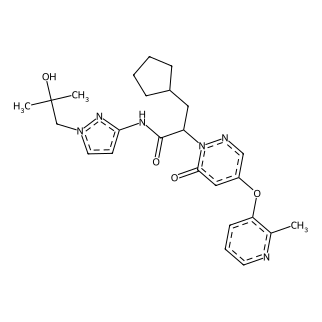 Cc1ncccc1Oc1cnn(C(CC2CCCC2)C(=O)Nc2ccn(CC(C)(C)O)n2)c(=O)c1